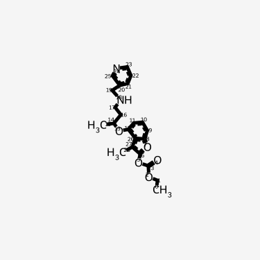 CCOC(=O)Oc1oc2cccc(OC(C)CCNCc3cccnc3)c2c1C